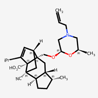 C=CCN1C[C@H](OC[C@@]23C[C@@H]4[C@H](C)CC[C@H]4[C@]4(C#N)C[C@@H]2C=C(C(C)C)[C@@]34C(=O)O)O[C@H](C)C1